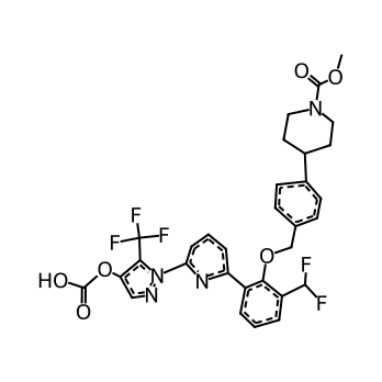 COC(=O)N1CCC(c2ccc(COc3c(-c4cccc(-n5ncc(OC(=O)O)c5C(F)(F)F)n4)cccc3C(F)F)cc2)CC1